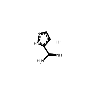 N=C(N)c1ccn[nH]1.[H+]